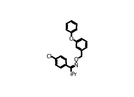 CC(C)C(=NOCc1cccc(Oc2ccccc2)c1)c1ccc(Cl)cc1